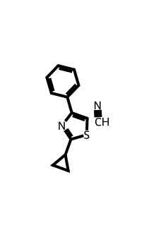 C#N.c1ccc(-c2csc(C3CC3)n2)cc1